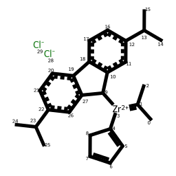 C[C](C)=[Zr+2]([C]1=CC=CC1)[CH]1c2cc(C(C)C)ccc2-c2ccc(C(C)C)cc21.[Cl-].[Cl-]